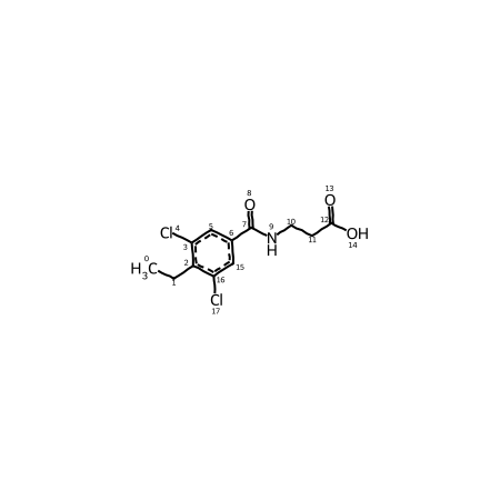 CCc1c(Cl)cc(C(=O)NCCC(=O)O)cc1Cl